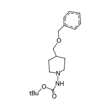 CC(C)(C)OC(=O)NN1CCC(COCc2ccccc2)CC1